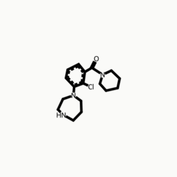 O=C(c1cccc(N2CCCNCC2)c1Cl)N1CCCCC1